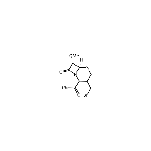 CO[C@H]1C(=O)N2C(C(=O)C(C)(C)C)=C(CBr)CS[C@H]12